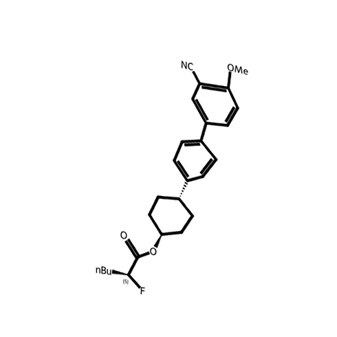 CCCC[C@H](F)C(=O)O[C@H]1CC[C@H](c2ccc(-c3ccc(OC)c(C#N)c3)cc2)CC1